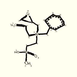 C=CC[N+](CCP(C)(=O)O)(Cc1ccccc1)CC1CO1